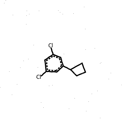 Clc1cc(Cl)cc(C2CCC2)c1